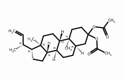 C=C[C@@H](C)[C@H]1CC[C@H]2[C@@H]3CC[C@@H]4CC(OC(C)=O)(OC(C)=O)CC[C@]4(C)[C@H]3CC[C@]12C